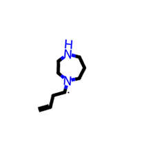 C=CC[CH]N1CCCNCC1